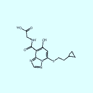 O=C(O)CNC(=O)c1c(O)cc(SCCC2CC2)n2ncnc12